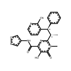 C[C@H](c1nc(C(=O)Nc2cnoc2)c(O)c(=O)n1C)[C@H](c1ccccc1)c1cccnc1C#N